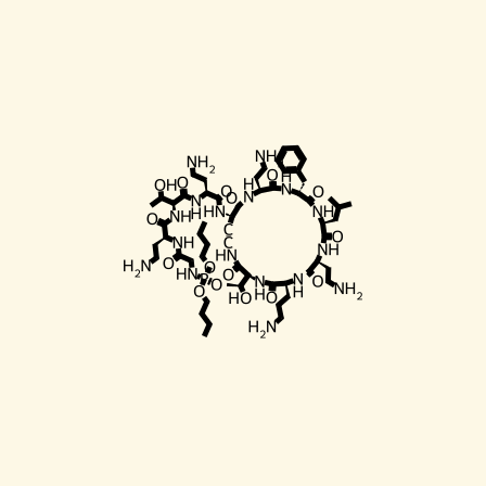 CCCCOP(=O)(NCC(=O)N[C@@H](CCN)C(=O)N[C@H](C(=O)N[C@@H](CCN)C(=O)N[C@H]1CCNC(=O)[C@H]([C@H](C)O)NC(=O)[C@H](CCCN)NC(=O)[C@H](CCN)NC(=O)[C@H](CC(C)C)NC(=O)[C@@H](Cc2ccccc2)NC(=O)[C@H](CCN)NC1=O)C(C)O)OCCCC